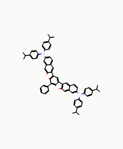 CC(C)c1ccc(N(c2ccc(C(C)C)cc2)c2ccc3cc4c(cc3c2)oc2c(-c3ccccc3)c3oc5cc6cc(N(c7ccc(C(C)C)cc7)c7ccc(C(C)C)cc7)ccc6cc5c3cc24)cc1